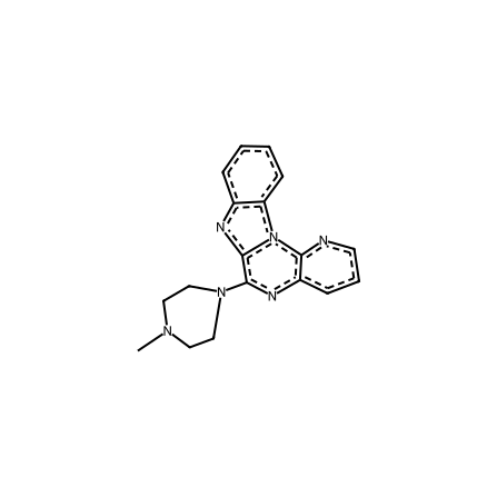 CN1CCN(c2nc3cccnc3n3c2nc2ccccc23)CC1